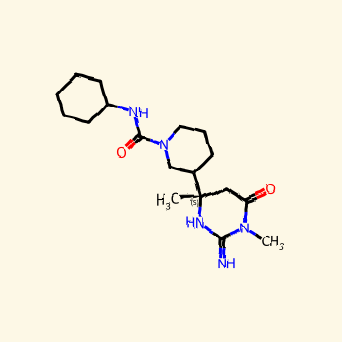 CN1C(=N)N[C@](C)(C2CCCN(C(=O)NC3CCCCC3)C2)CC1=O